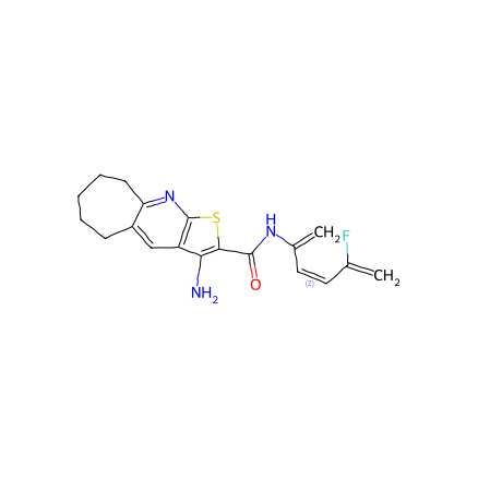 C=C(F)/C=C\C(=C)NC(=O)c1sc2nc3c(cc2c1N)CCCCC3